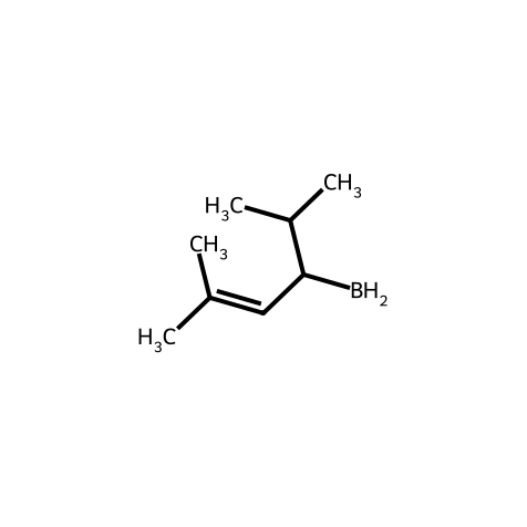 BC(C=C(C)C)C(C)C